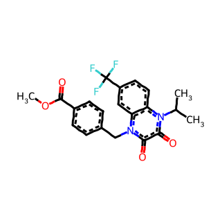 COC(=O)c1ccc(Cn2c(=O)c(=O)n(C(C)C)c3ccc(C(F)(F)F)cc32)cc1